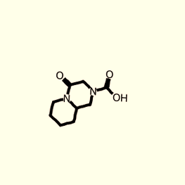 O=C(O)N1CC(=O)N2CCCCC2C1